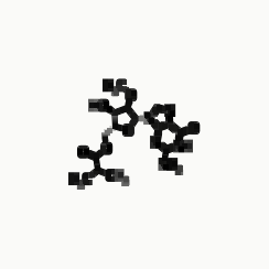 CO[C@@H]1[C@H](O)[C@@H](COC(=O)C(C)C)O[C@H]1n1cnc2c(=O)[nH]c(N)nc21